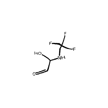 O=CC(O)NC(F)(F)F